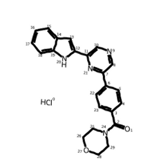 Cl.O=C(c1ccc(-c2cncc(-c3cc4ccccc4[nH]3)n2)cc1)N1CCOCC1